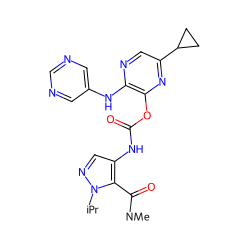 CNC(=O)c1c(NC(=O)Oc2nc(C3CC3)cnc2Nc2cncnc2)cnn1C(C)C